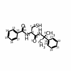 CC(C)(NC(=O)[C@H](CS)NC(=O)c1ccccc1)c1ccccc1